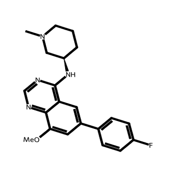 COc1cc(-c2ccc(F)cc2)cc2c(N[C@@H]3CCCN(C)C3)ncnc12